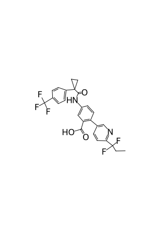 CCC(F)(F)c1ccc(-c2ccc(NC(=O)C3(c4ccc(C(F)(F)F)cc4)CC3)cc2C(=O)O)cn1